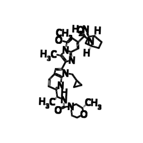 COc1cc(C(=O)N2[C@H]3CC[C@@H]2[C@H](N)C3)cc2nc(-c3cc4ccc([C@@H](C)NC(=O)N5CCO[C@@H](C)C5)nc4n3CC3CC3)c(C)n12